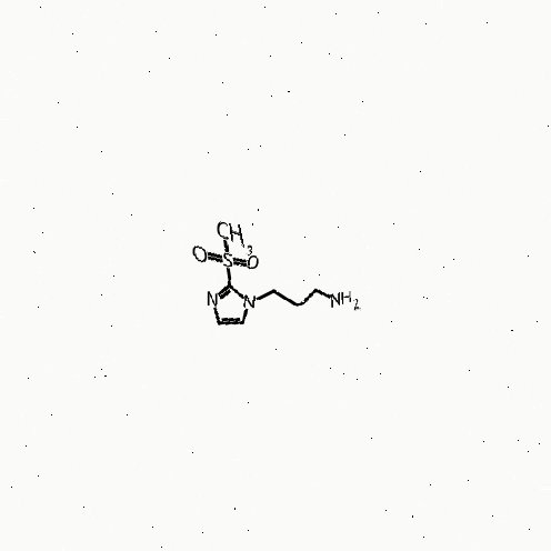 CS(=O)(=O)c1nccn1CCCN